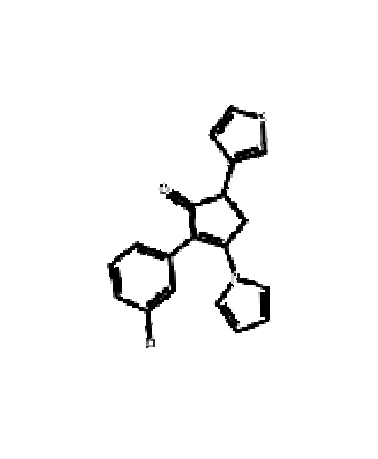 O=C1C(c2cccc(Cl)c2)=C(n2cccc2)CC1c1ccsc1